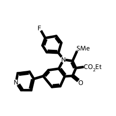 CCOC(=O)c1c(SC)n(-c2ccc(F)cc2)c2cc(-c3ccncc3)ccc2c1=O